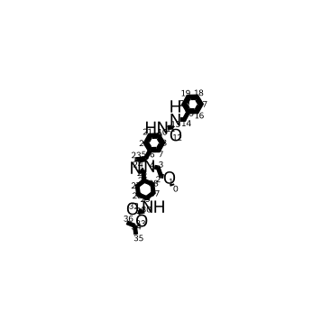 COCCn1c(-c2ccc(NC(=O)NCc3ccccc3)cc2)cnc1C1CCC(NC(=O)OC(C)C)CC1